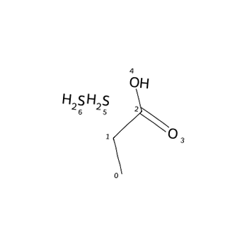 CCC(=O)O.S.S